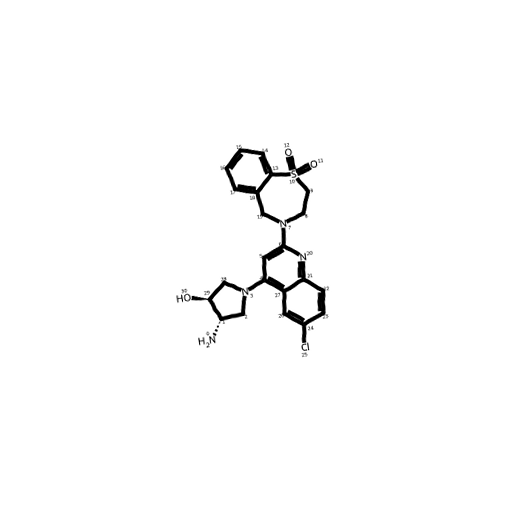 N[C@H]1CN(c2cc(N3CCS(=O)(=O)c4ccccc4C3)nc3ccc(Cl)cc23)C[C@@H]1O